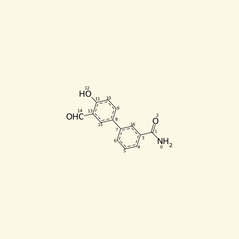 NC(=O)c1cccc(-c2ccc(O)c(C=O)c2)c1